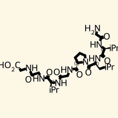 CC(C)C[C@H](NC(=O)[C@@H](NC(=O)CN)C(C)C)C(=O)N1CCC[C@H]1C(=O)NCC(=O)N[C@H](C(=O)NCC(=O)NCC(=O)O)C(C)C